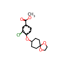 COC(=O)c1ccc(OC2CCC3(CC2)OCCO3)c(Cl)c1